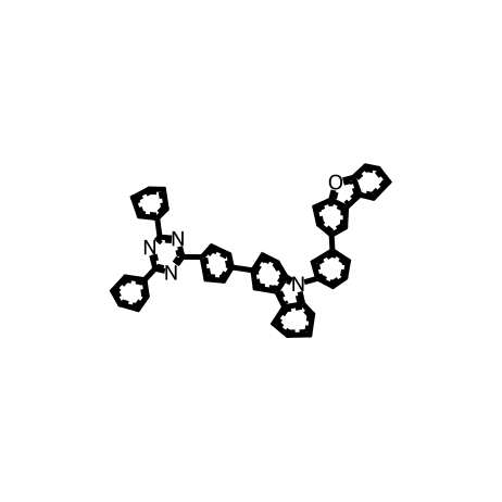 c1ccc(-c2nc(-c3ccccc3)nc(-c3ccc(-c4ccc5c(c4)c4ccccc4n5-c4cccc(-c5ccc6oc7ccccc7c6c5)c4)cc3)n2)cc1